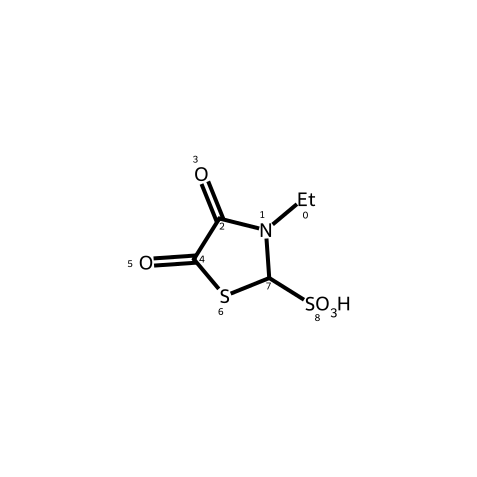 CCN1C(=O)C(=O)SC1S(=O)(=O)O